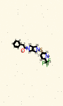 O=C(Cc1ccccc1)N1CC2=C(CN(Sc3ccc(C(F)(F)F)nc3)C2)C1